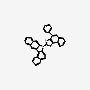 c1ccc(-c2cc3ccccc3c3sc(-n4c5cc6ccccc6cc5c5c6ccccc6ccc54)nc23)cc1